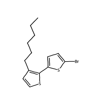 CCCCCCc1ccsc1-c1ccc(Br)s1